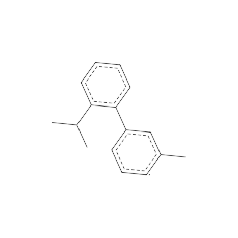 Cc1[c]ccc(-c2ccccc2C(C)C)c1